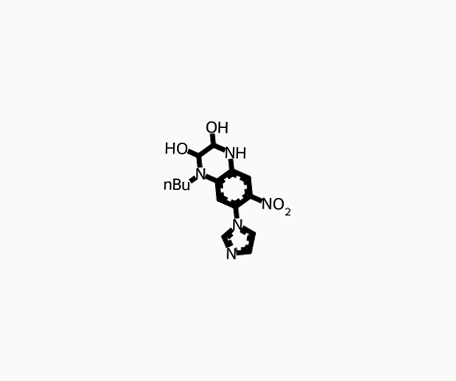 [CH2]CCCN1c2cc(-n3ccnc3)c([N+](=O)[O-])cc2NC(O)C1O